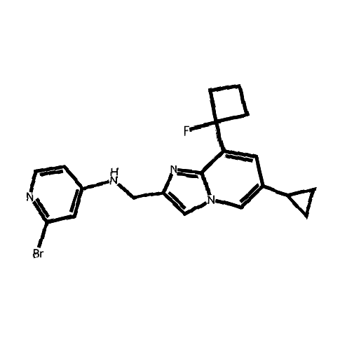 FC1(c2cc(C3CC3)cn3cc(CNc4ccnc(Br)c4)nc23)CCC1